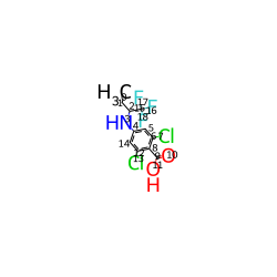 CCC(Nc1cc(Cl)c(C(=O)O)c(Cl)c1)C(F)(F)F